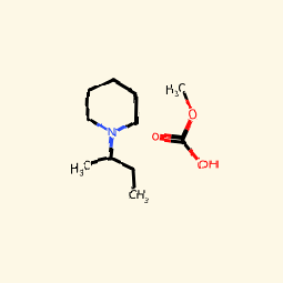 CCC(C)N1CCCCC1.COC(=O)O